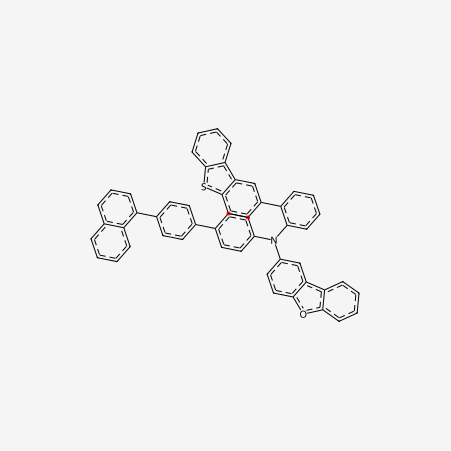 c1ccc(N(c2ccc(-c3ccc(-c4cccc5ccccc45)cc3)cc2)c2ccc3oc4ccccc4c3c2)c(-c2ccc3sc4ccccc4c3c2)c1